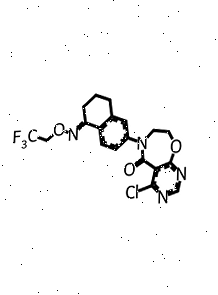 O=C1c2c(Cl)ncnc2OCCN1c1ccc2c(c1)CCCC2=NOCC(F)(F)F